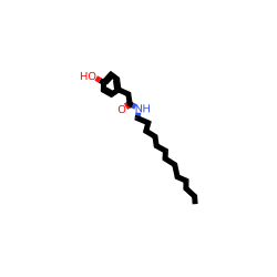 CCCCCCCCCCCCCNC(=O)Cc1ccc(O)cc1